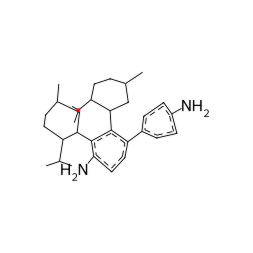 CC1CCC(C(C)C)C(c2c(N)ccc(-c3ccc(N)cc3)c2C2CC(C)CCC2C(C)C)C1